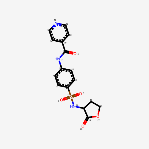 O=C(Nc1ccc(S(=O)(=O)NC2CCOC2=O)cc1)c1ccncc1